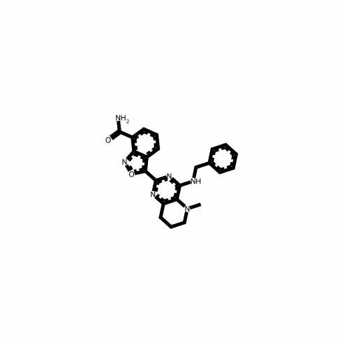 CN1CCCc2nc(-c3onc4c(C(N)=O)cccc34)nc(NCc3ccccc3)c21